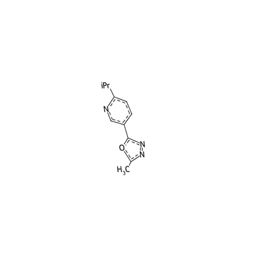 Cc1nnc(-c2ccc(C(C)C)nc2)o1